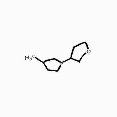 CC1CCN(C2CCOC2)C1